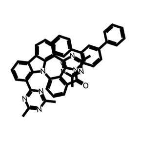 Cc1nc(C)nc(-c2cccc3c4cccc(-c5nc(C)nc(C)n5)c4n(-c4cccc5c4C(=O)N(c4ccc(-c6ccccc6)cc4-c4ccccc4)C5=O)c23)n1